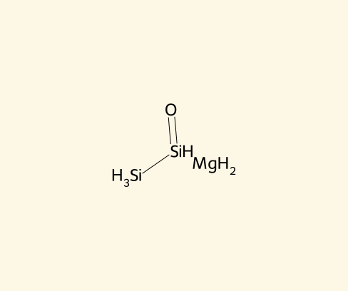 O=[SiH][SiH3].[MgH2]